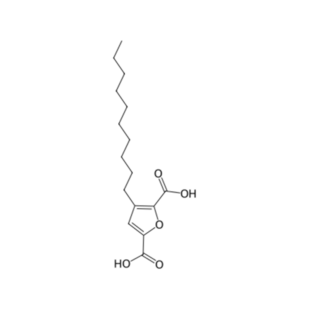 CCCCCCCCCCc1cc(C(=O)O)oc1C(=O)O